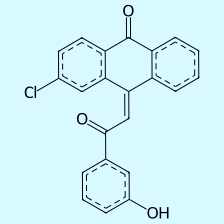 O=C(C=C1c2ccccc2C(=O)c2ccc(Cl)cc21)c1cccc(O)c1